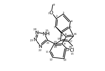 COc1ccc2c3c1C(c1ccccc1Cl)=C2C(C)=C3Cc1nnn[nH]1